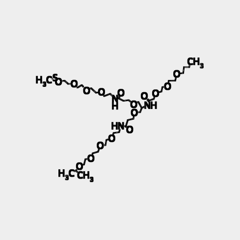 CCCCOCCOCCOCC(=O)NC(COCCC(=O)NCCOCCOCCOCCOSC)COCCC(=O)NCCOCCOCCOCCOC(C)C